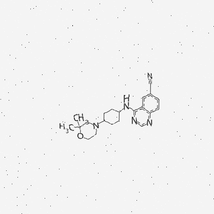 CC1(C)CN(C2CCC(Nc3ncnc4ccc(C#N)cc34)CC2)CCO1